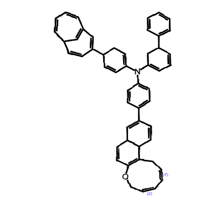 C1=CC2=CC(C=C1)C=CC(C1C=CC(N(C3=CC=CC(c4ccccc4)C3)c3ccc(C4=CC5C=CC6=C(C/C=C\C=C/CO6)C5C=C4)cc3)=CC1)=C2